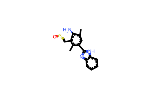 Cc1cc(-c2nc3ccccc3[nH]2)c(C)c(C=S=O)c1N